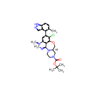 C=Nc1cc(-c2c(C)ccc3[nH]ncc23)c(Cl)c2c1/C(=N\C)N1CCN(C(=O)OC(C)(C)C)C[C@@H]1CO2